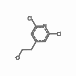 [O]CCc1cc(Cl)nc(Cl)c1